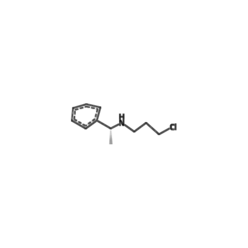 C[C@@H](NCCCCl)c1ccccc1